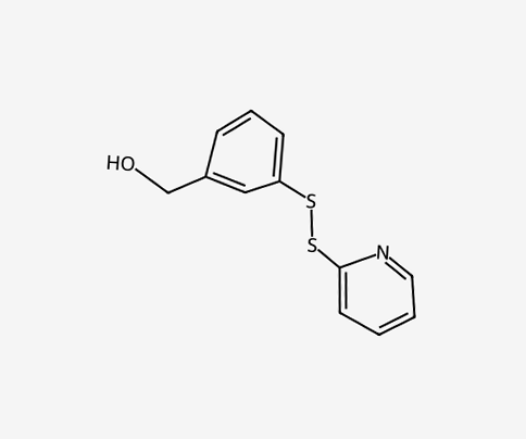 OCc1cccc(SSc2ccccn2)c1